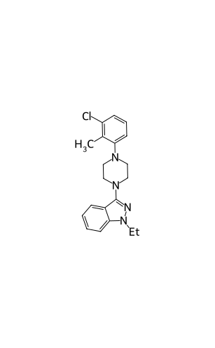 CCn1nc(N2CCN(c3cccc(Cl)c3C)CC2)c2ccccc21